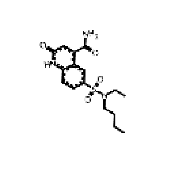 CCCCN(CC)S(=O)(=O)c1ccc2[nH]c(=O)cc(C(N)=O)c2c1